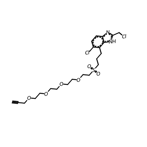 C#CCOCCOCCOCCOCCS(=O)(=O)CCCc1c(Cl)ccc2nc(CCl)[nH]c12